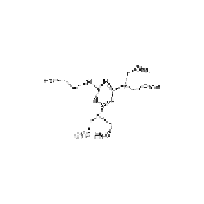 COCN(COC)c1nc(N(C)CCO)nc(N(COC)COC)n1